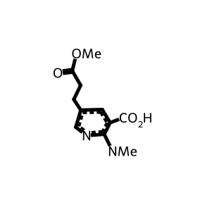 CNc1ncc(CCC(=O)OC)cc1C(=O)O